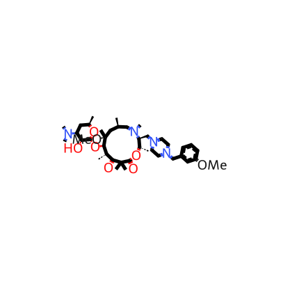 COc1cccc(CN2CCN(C[C@H]3[C@H](C)OC(=O)C(C)(C)C(=O)[C@H](C)[C@@H](O[C@@H]4O[C@H](C)C[C@H](N(C)C)[C@H]4O)[C@](C)(OC)C[C@@H](C)CN3C)CC2)c1